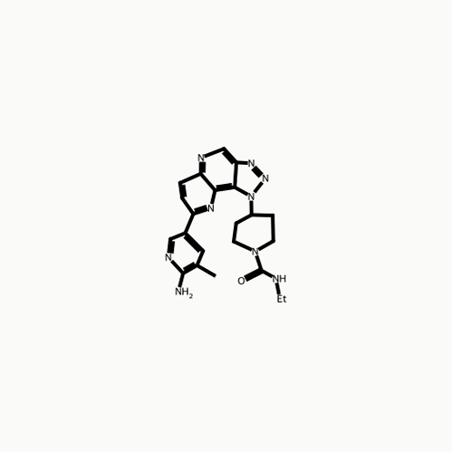 CCNC(=O)N1CCC(n2nnc3cnc4ccc(-c5cnc(N)c(C)c5)nc4c32)CC1